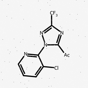 CC(=O)c1nc(C(F)(F)F)nn1-c1ncccc1Cl